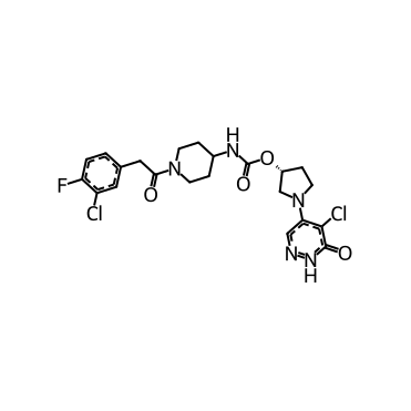 O=C(NC1CCN(C(=O)Cc2ccc(F)c(Cl)c2)CC1)O[C@@H]1CCN(c2cn[nH]c(=O)c2Cl)C1